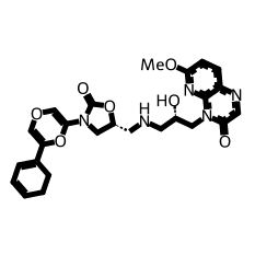 COc1ccc2ncc(=O)n(C[C@@H](O)CNC[C@@H]3CN(C4=COC=C(C5=CC=CCC5)O4)C(=O)O3)c2n1